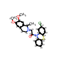 COc1cc2c(cc1OC)C(C)N(CC(=O)N1c3ccccc3Sc3ccc(Cl)cc31)CC2